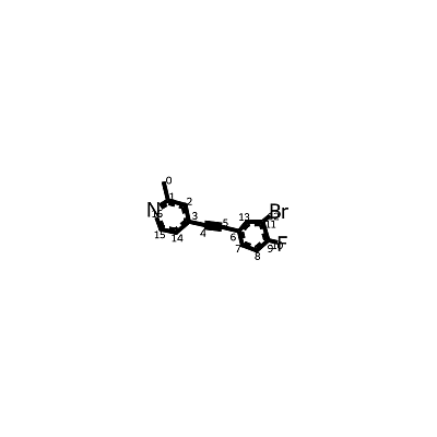 Cc1cc(C#Cc2ccc(F)c(Br)c2)ccn1